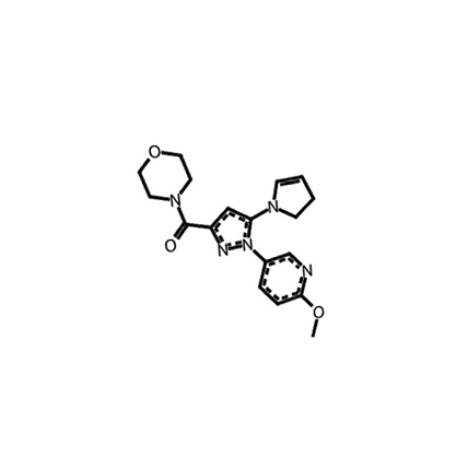 COc1ccc(-n2nc(C(=O)N3CCOCC3)cc2N2C=CCC2)cn1